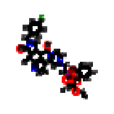 CCOC(=O)[C@H](C)OP(=O)(CCN1CCN(C(=O)c2c3c(c(C)c4ncccc24)C(=O)N(Cc2ccc(F)cc2)C3)CC1)Oc1ccccc1